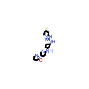 O=c1cccnn1-c1ccc(N[C@H]2CC[C@H](Nc3nc4cc(F)ccn4n3)C2)nc1